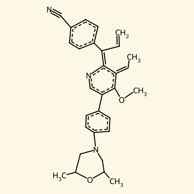 C=C/C(c1ccc(C#N)cc1)=c1/ncc(-c2ccc(N3CC(C)OC(C)C3)cc2)c(OC)/c1=C/C